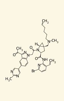 C=CCCCCN(C)C[C@@]12C[C@@H](C(=O)Nc3nc(Br)ccc3C=C)N(C(=O)Cn3nc(C(C)=O)c4cc(-c5cnc(C)nc5)ccc43)[C@@H]1C2